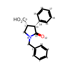 O=C(O)[C@H]1CN(Cc2ccccc2)C(=O)[C@H]1c1ccccc1